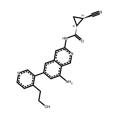 N#C[C@@H]1C[C@H]1C(=O)Nc1cc2cc(-c3cnccc3CCO)cc(N)c2cn1